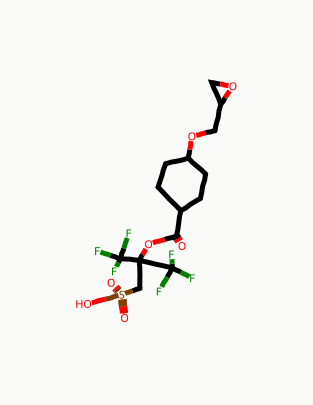 O=C(OC(CS(=O)(=O)O)(C(F)(F)F)C(F)(F)F)C1CCC(OCC2CO2)CC1